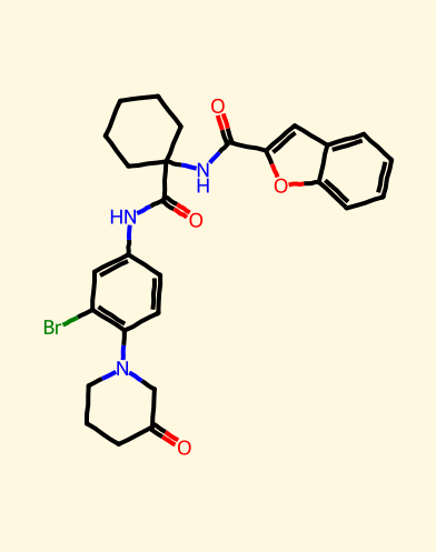 O=C1CCCN(c2ccc(NC(=O)C3(NC(=O)c4cc5ccccc5o4)CCCCC3)cc2Br)C1